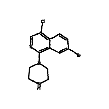 Clc1cnc(N2CCNCC2)c2cc(Br)ccc12